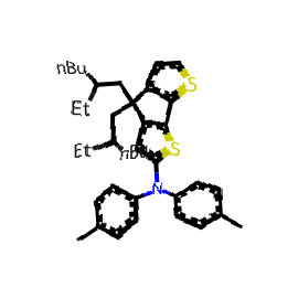 CCCCC(CC)CC1(CC(CC)CCCC)c2ccsc2-c2sc(N(c3ccc(C)cc3)c3ccc(C)cc3)cc21